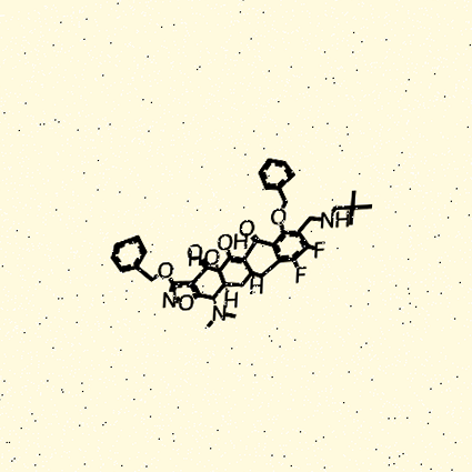 CN(C)[C@@H]1c2onc(OCc3ccccc3)c2C(=O)[C@@]2(O)C(O)=C3C(=O)c4c(c(F)c(F)c(CNCC(C)(C)C)c4OCc4ccccc4)C[C@H]3C[C@@H]12